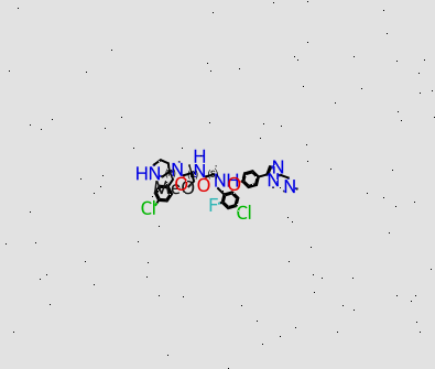 COC[C@@](C)(NC(=O)[C@H](C)NCc1c(F)cc(Cl)cc1Oc1ccc(-c2cnc(CN(C)C)n2C)cc1)C(=O)N(C)[C@@]1(Cc2ccc(Cl)cc2)CCCNC1